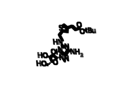 CC(C)(C)OC(=O)C=Cc1csc(CCNc2nc(N)c3ncn([C@@H]4O[C@H](CO)[C@@H](O)[C@H]4O)c3n2)c1